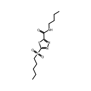 CCCCCS(=O)(=O)c1nnc(C(=O)NCCCC)s1